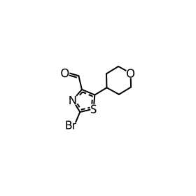 O=Cc1nc(Br)sc1C1CCOCC1